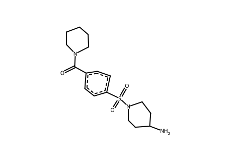 NC1CCN(S(=O)(=O)c2ccc(C(=O)N3CCCCC3)cc2)CC1